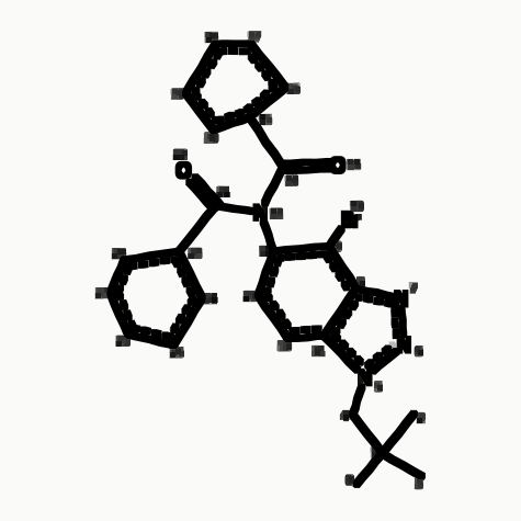 CC(C)(C)Cn1nnc2c(Br)c(N(C(=O)c3ccccc3)C(=O)c3ccccc3)ccc21